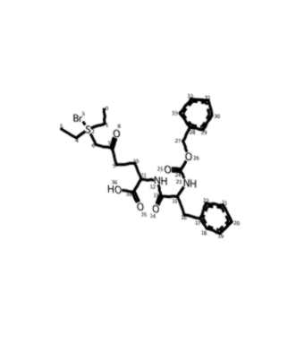 CCS(Br)(CC)CC(=O)CCC(NC(=O)C(Cc1ccccc1)NC(=O)OCc1ccccc1)C(=O)O